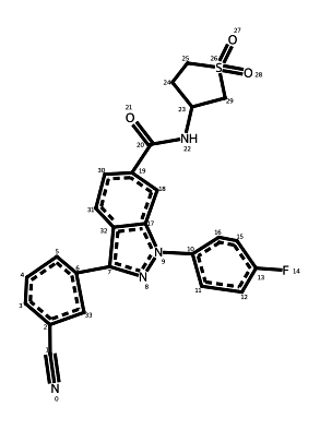 N#Cc1cccc(-c2nn(-c3ccc(F)cc3)c3cc(C(=O)NC4CCS(=O)(=O)C4)ccc23)c1